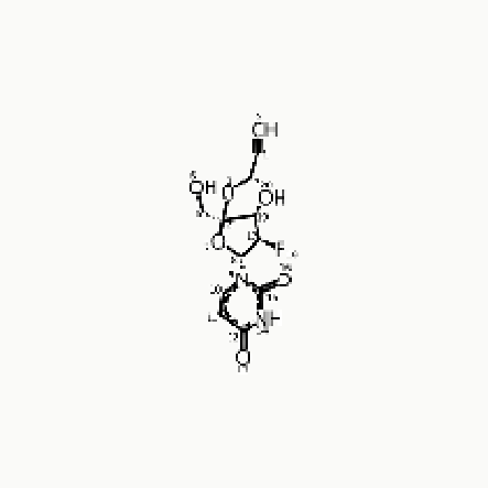 C#CCO[C@]1(CO)O[C@@H](n2ccc(=O)[nH]c2=O)[C@H](F)[C@@H]1O